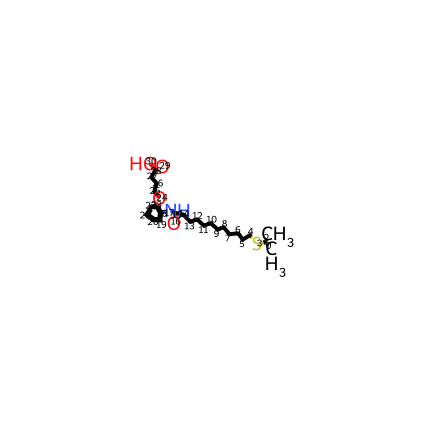 CC(C)SCCCCCCCCCCCC(=O)Nc1ccccc1OCCCC(=O)O